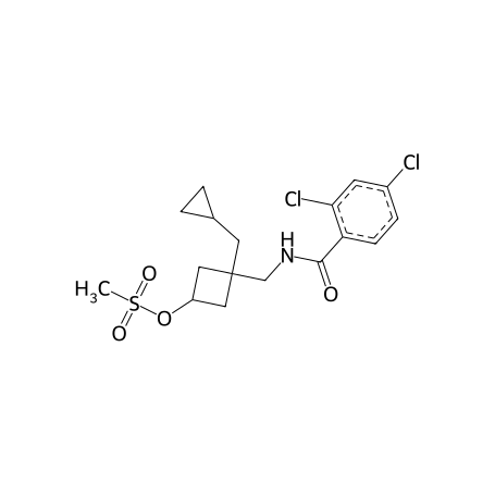 CS(=O)(=O)OC1CC(CNC(=O)c2ccc(Cl)cc2Cl)(CC2CC2)C1